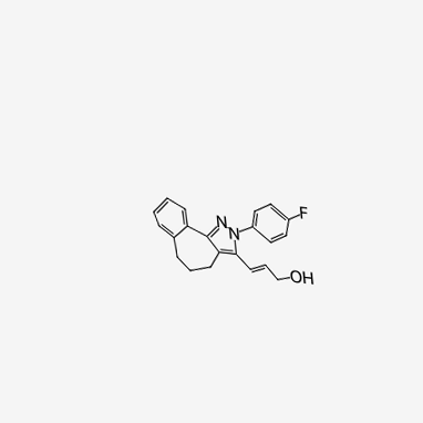 OCC=Cc1c2c(nn1-c1ccc(F)cc1)-c1ccccc1CCC2